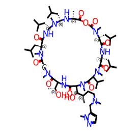 CC(C)C[C@@H]1C(=O)N[C@H](CC(C)C)C(=O)N(C)C(C(C)C)C(=O)N(C)C([C@H](O)[C@H](C)CCN(C)Cc2ccnn2C)C(=O)NC([C@@H](C)O)C(=O)N(C)CC(=O)N(C)[C@@H](CC(C)C)C(=O)N[C@H](CC(C)C)N(C)[C@H](CC(C)C)N[C@H](C)C(=O)OC(=O)N1C